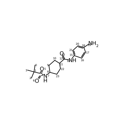 CC(C)(C)S(=O)(=O)NC1CCC(C(=O)Nc2ccc(N)cc2)CC1